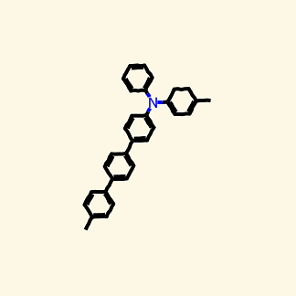 CC1=CC=C(N(c2ccccc2)c2ccc(-c3ccc(-c4ccc(C)cc4)cc3)cc2)CC1